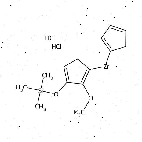 COC1=[C]([Zr][C]2=CC=CC2)CC=C1O[Si](C)(C)C.Cl.Cl